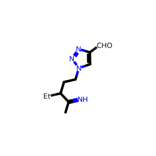 CCC(CCn1cc(C=O)nn1)C(C)=N